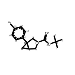 CC(C)(C)OC(=O)N1CC2CC2(c2ccc(I)cc2)C1